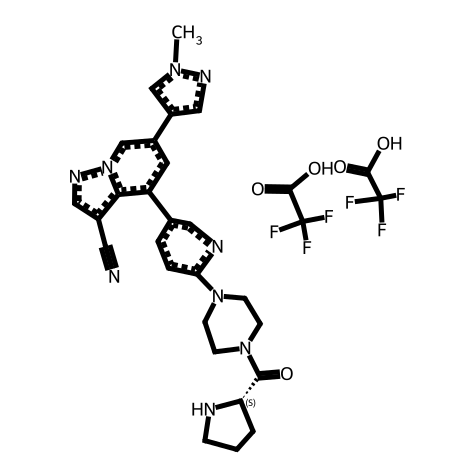 Cn1cc(-c2cc(-c3ccc(N4CCN(C(=O)[C@@H]5CCCN5)CC4)nc3)c3c(C#N)cnn3c2)cn1.O=C(O)C(F)(F)F.O=C(O)C(F)(F)F